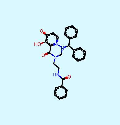 O=C(NCCN1CN(C(c2ccccc2)c2ccccc2)n2ccc(=O)c(O)c2C1=O)c1ccccc1